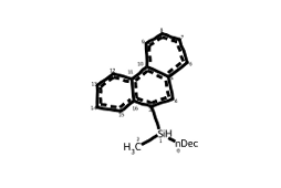 CCCCCCCCCC[SiH](C)c1cc2ccccc2c2ccccc12